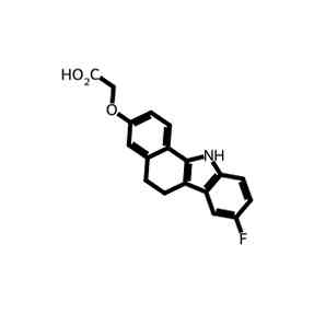 O=C(O)COc1ccc2c(c1)CCc1c-2[nH]c2ccc(F)cc12